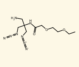 CCOCCOCC(=O)NC(CN)(CN=[N+]=[N-])CN=[N+]=[N-]